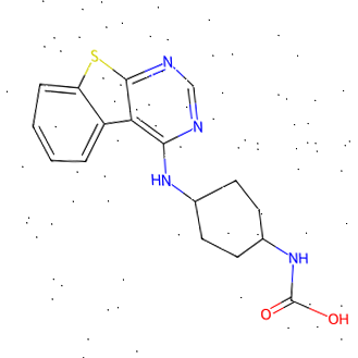 O=C(O)NC1CCC(Nc2ncnc3sc4ccccc4c23)CC1